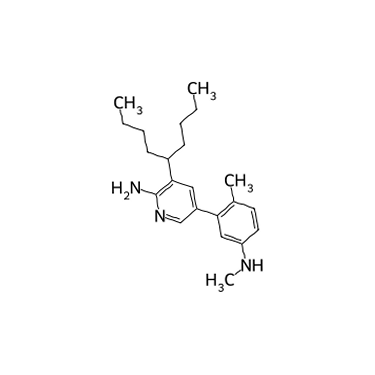 CCCCC(CCCC)c1cc(-c2cc(NC)ccc2C)cnc1N